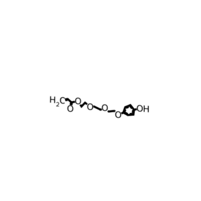 C=CC(=O)OCCOCCOCCOc1ccc(O)cc1